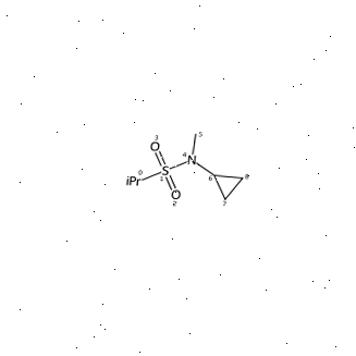 CC(C)S(=O)(=O)N(C)C1CC1